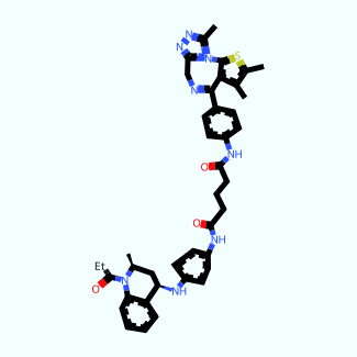 CCC(=O)N1c2ccccc2[C@H](Nc2ccc(NC(=O)CCCC(=O)Nc3ccc(C4=NCc5nnc(C)n5-c5sc(C)c(C)c54)cc3)cc2)C[C@@H]1C